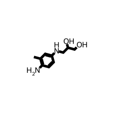 Cc1cc(NCC(O)CO)ccc1N